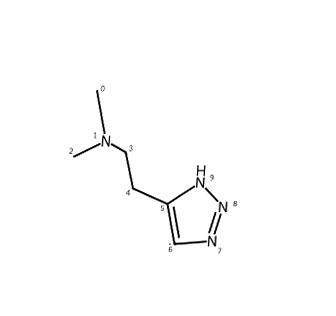 CN(C)CCc1[c]nn[nH]1